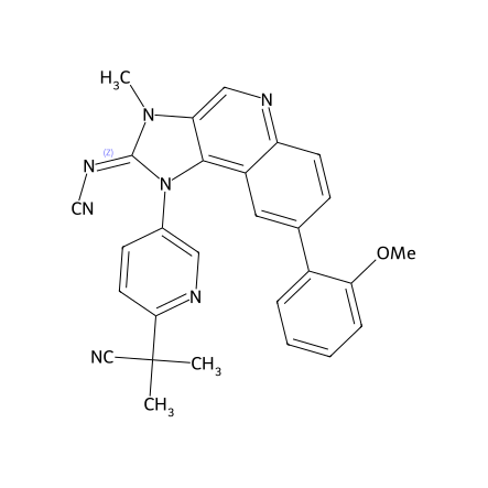 COc1ccccc1-c1ccc2ncc3c(c2c1)n(-c1ccc(C(C)(C)C#N)nc1)/c(=N\C#N)n3C